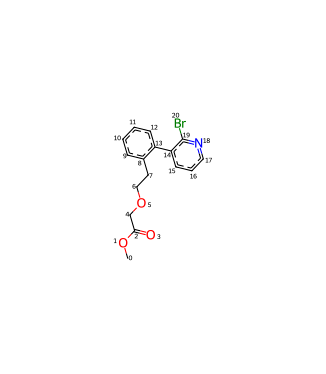 COC(=O)COCCc1ccccc1-c1cccnc1Br